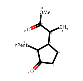 CCCCCC1C(=O)CCC1C(C)C(=O)OC